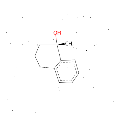 C[C@]1(O)[C]CCc2ccccc21